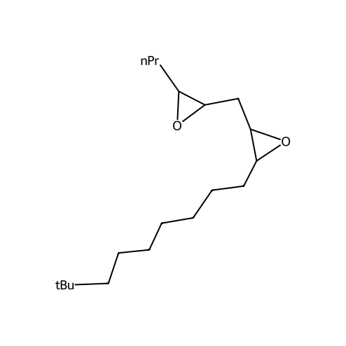 CCCC1OC1CC1OC1CCCCCCCC(C)(C)C